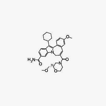 COC[C@@H]1CN(C(=O)C2=Cc3cc(OC)ccc3-c3c(C4CCCCC4)c4ccc(C(N)=O)cc4n3C2)CCO1